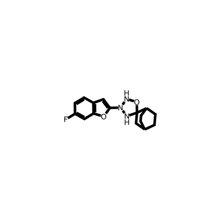 Fc1ccc2cc(N3NOC4(CC5CCC4CC5)N3)oc2c1